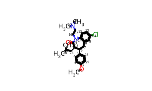 COc1ccc([C@@H]2Cc3cc(Cl)ccc3N(CCN(C)C)C(=O)[C@@H]2CC(C)C)cc1